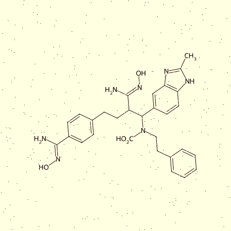 Cc1nc2cc(C(C(CCc3ccc(C(N)=NO)cc3)C(N)=NO)N(CCc3ccccc3)C(=O)O)ccc2[nH]1